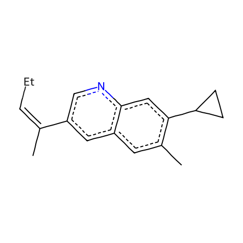 CC/C=C(/C)c1cnc2cc(C3CC3)c(C)cc2c1